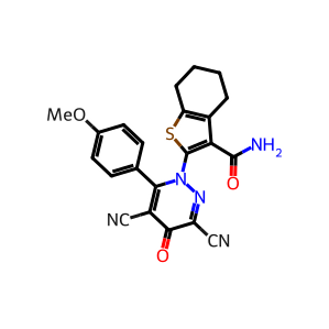 COc1ccc(-c2c(C#N)c(=O)c(C#N)nn2-c2sc3c(c2C(N)=O)CCCC3)cc1